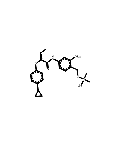 CC=C(Oc1ccc(C2CC2)cc1)C(=O)Nc1ccc(CO[Si](C)(C)C(C)(C)C)c(OC)c1